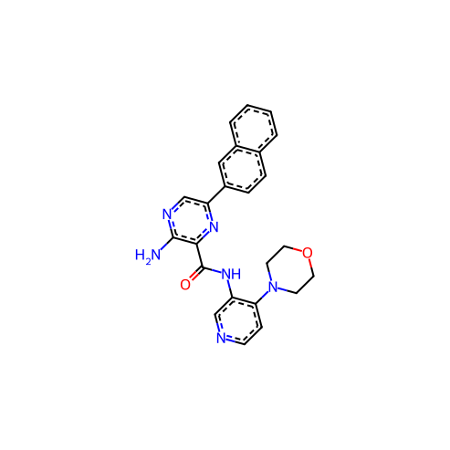 Nc1ncc(-c2ccc3ccccc3c2)nc1C(=O)Nc1cnccc1N1CCOCC1